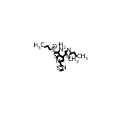 CCCC[S+]([O-])c1sc2nc(-c3nccs3)cc(-c3cnc(CCC)n3C)c2c1N